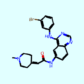 CN1CCC(=CC(=O)Nc2ccc3ncnc(Nc4cccc(Br)c4)c3c2)CC1